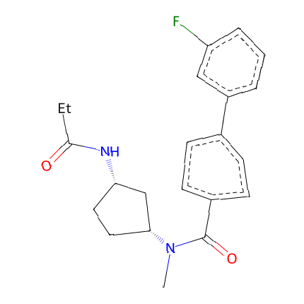 CCC(=O)N[C@H]1CC[C@@H](N(C)C(=O)c2ccc(-c3cccc(F)c3)cc2)C1